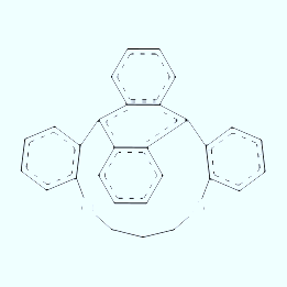 c1ccc2c(c1)OCCCOc1ccccc1-c1c3ccccc3c-2c2ccccc12